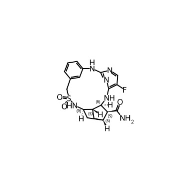 NC(=O)[C@H]1[C@H]2C[C@H]3[C@H]1Nc1nc(ncc1F)Nc1cccc(c1)CS(=O)(=O)N[C@@H]3C2